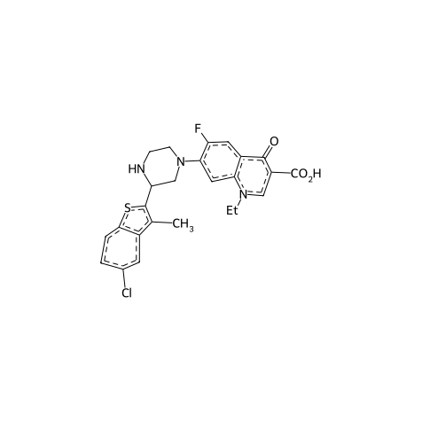 CCn1cc(C(=O)O)c(=O)c2cc(F)c(N3CCNC(c4sc5ccc(Cl)cc5c4C)C3)cc21